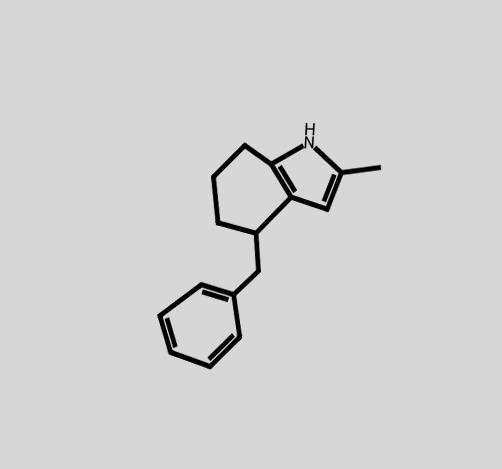 Cc1cc2c([nH]1)CCCC2Cc1ccccc1